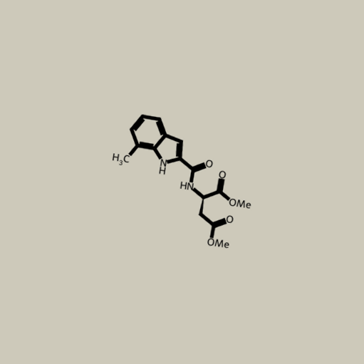 COC(=O)C[C@@H](NC(=O)c1cc2cccc(C)c2[nH]1)C(=O)OC